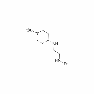 CCNCCNC1CCN(C(C)(C)C)CC1